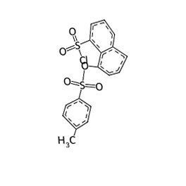 Cc1ccc(S(=O)(=O)Oc2cccc3cccc(S(=O)(=O)Cl)c23)cc1